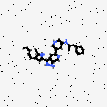 C=C(Cc1ccccc1)Nc1cncc(-c2cc3c(-c4cc(/C=C\C=C/C)c(C)[nH]4)n[nH]c3cn2)c1